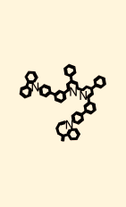 C=C1CC/C=C\N(c2ccc(-c3cccc(C4=CC(c5ccccc5)CC(c5cc(-c6ccccc6)cc(-c6cccc(-c7ccc(-n8c9c(c%10ccccc%108)CCC=C9)cc7)c6)n5)=N4)c3)cc2)C2=C1CCC=C2